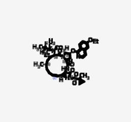 CCOc1ccc2c(O[C@@H]3C[C@H]4C(=O)N[C@]5(C(=O)NS(=O)(=O)C6(C)CC6)C[C@H]5/C=C\CC[C@H](C)C[C@@H](CC)[C@H](N(C(=O)O)C(C)(C)C(C)(F)F)C(=O)N4C3)nccc2c1